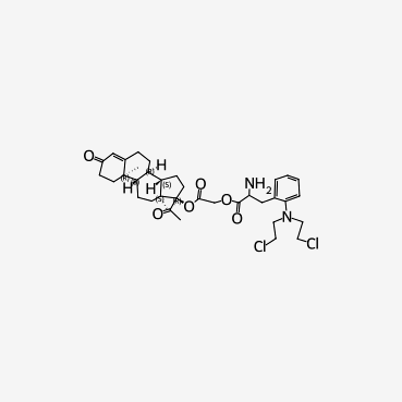 CC(=O)[C@@]1(OC(=O)COC(=O)C(N)Cc2ccccc2N(CCCl)CCCl)CC[C@H]2[C@@H]3CCC4=CC(=O)CC[C@]4(C)[C@H]3CC[C@@]21C